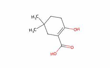 CC1(C)CCC(O)=C(C(=O)O)C1